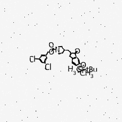 CC(C)(C)[Si](C)(C)Oc1ccc2c(c1)C(=O)C(CC1CCN(C(=O)OCc3cc(Cl)cc(Cl)c3)CC1)C2